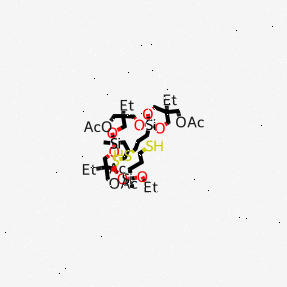 CCO[Si](C)(CCCS)OCC(CC)(COC(C)=O)CO[Si](C)(CCCSC(C)=O)OCC(CC)(COC(C)=O)CO[Si]1(CCCS)OCC(CC)(COC(C)=O)CO1